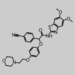 COc1cc2nc(NC(=O)C(Oc3ccc(OCCN4CCOCC4)cc3)c3ccc(C#N)cc3)sc2cc1OC